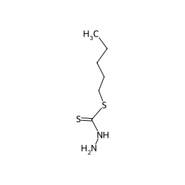 CCCCCSC(=S)NN